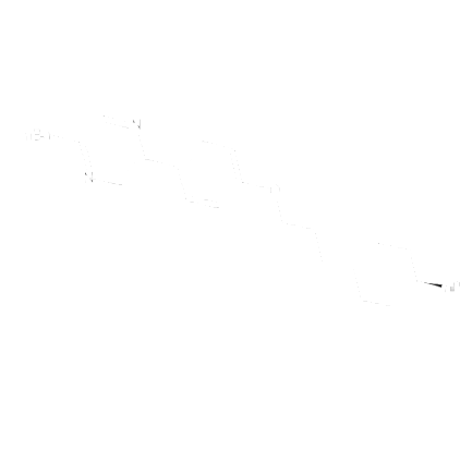 CCCCc1cnc(-c2ccc(OCCC[C@H]3CC[C@H](CCC)CC3)cc2)cn1